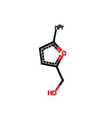 CCCc1ccc(CO)o1